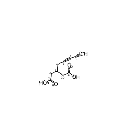 C#CC#CCC(CC(=O)O)CC(=O)O